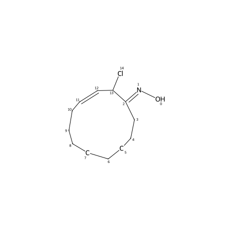 ON=C1CCCCCCCCC=CC1Cl